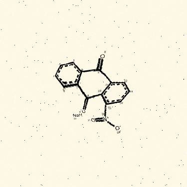 O=C1c2ccccc2C(=O)c2c1cccc2[N+](=O)[O-].[NaH]